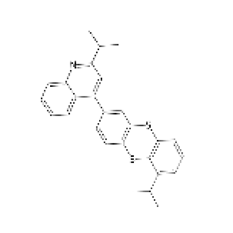 CC(C)c1cc(-c2ccc3c(c2)Sc2cccc(C(C)C)c2S3)c2ccccc2n1